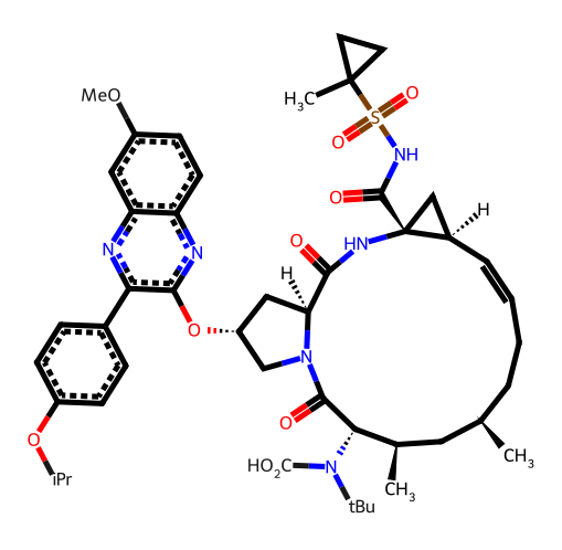 COc1ccc2nc(O[C@@H]3C[C@H]4C(=O)N[C@]5(C(=O)NS(=O)(=O)C6(C)CC6)C[C@H]5C=CCC[C@@H](C)C[C@@H](C)[C@H](N(C(=O)O)C(C)(C)C)C(=O)N4C3)c(-c3ccc(OC(C)C)cc3)nc2c1